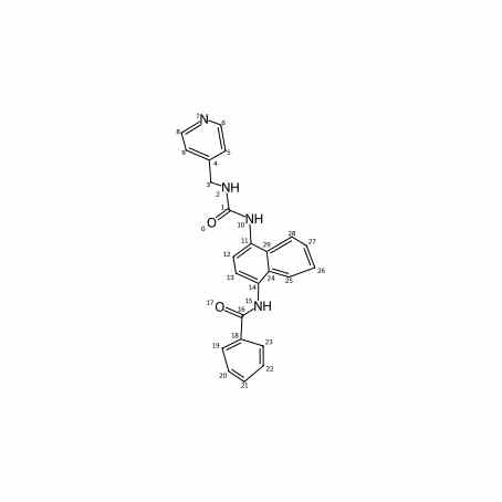 O=C(NCc1ccncc1)Nc1ccc(NC(=O)c2ccccc2)c2ccccc12